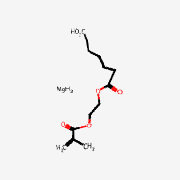 C=C(C)C(=O)OCCOC(=O)CCCCCC(=O)O.[MgH2]